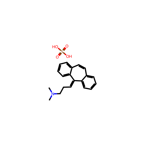 CN(C)CCC=C1c2ccccc2C=Cc2ccccc21.O=S(=O)(O)O